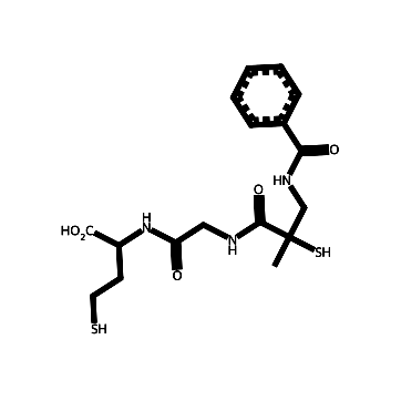 CC(S)(CNC(=O)c1ccccc1)C(=O)NCC(=O)NC(CCS)C(=O)O